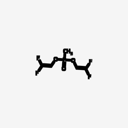 CP(=O)(OC=C(F)F)OC=C(F)F